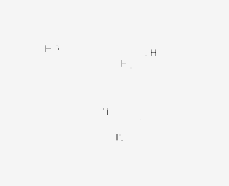 Cc1cccc(O)c1C(C)(C)CCO